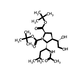 CC(=O)NC(CC(C)C)[C@H]1[C@H]([C@H](O)CO)C[C@H](C(=O)OC(C)(C)C)N1C(=O)OC(C)(C)C